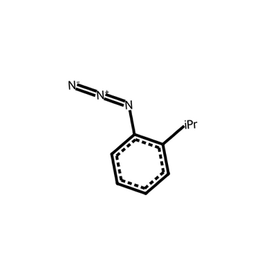 CC(C)c1ccccc1N=[N+]=[N-]